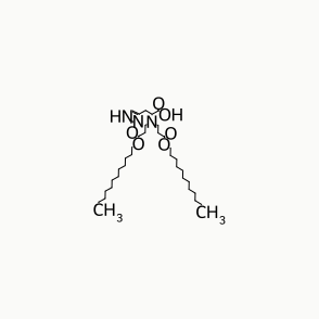 CCCCCCCCCCCCOC(=O)CCN(CCC(=O)OCCCCCCCCCCCC)C(Cc1c[nH]cn1)C(=O)O